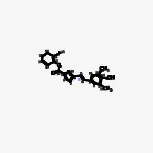 Cc1cc(/C=C/c2ccc(C(=O)OC3=C(F)CCC=C3)s2)cc(C)c1O